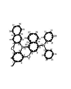 Cc1cc2c3c(c1)Oc1cc(N(c4ccccc4)c4ccccc4)c4ccccc4c1B3c1cc3ccccc3cc1O2